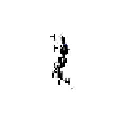 CCCCN(CC)C(=O)CN1CCC(c2cc/c(=N/CCC)[nH]c2)CC1